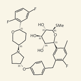 CS[C@H]1O[C@@H](c2cc(Cc3ccc(O[C@@H]4CCN([C@@H]5CC[C@@H](c6cc(F)ccc6F)OC5)C4)cc3)c(F)cc2C)[C@H](O)[C@@H](O)[C@@H]1O